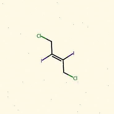 ClC/C(I)=C(\I)CCl